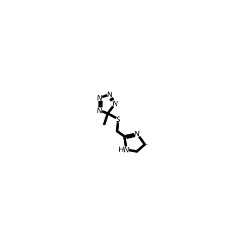 CC1(SCC2=N[CH]CN2)N=NN=N1